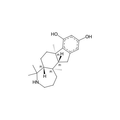 CC1(C)NCCC[C@]2(C)[C@H]3Cc4cc(O)cc(O)c4[C@]3(C)CC[C@@H]12